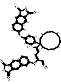 C=C/C(=C\C=C(/C)C1(c2ccc(Oc3ccc4cc5c(cc4c3)C(=O)OC5=O)cc2)CCCCCCCCCCC1)Oc1ccc2cc3c(cc2c1)C(=O)OC3=O